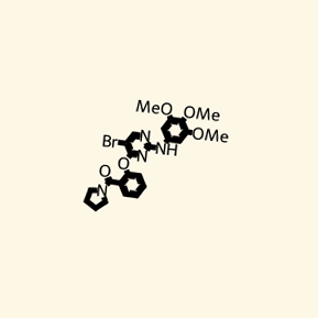 COc1cc(Nc2ncc(Br)c(Oc3ccccc3C(=O)N3CCCC3)n2)cc(OC)c1OC